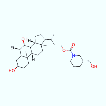 CC[C@@H]1C2C[C@H](O)CCC2(C)[C@H]2CCC3(C)[C@@H]([C@H](C)CCOC(=O)N4CCC[C@@H](CO)C4)CC[C@H]3C2[C@@H]1O